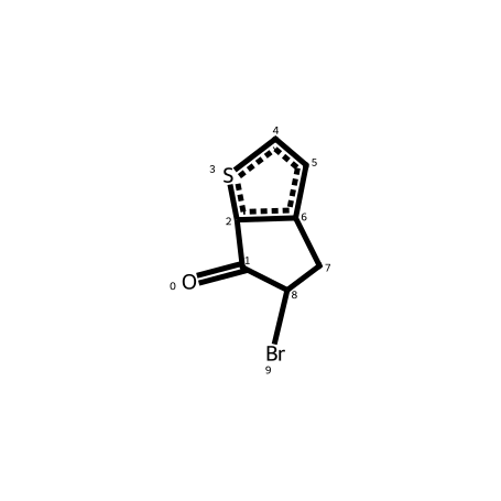 O=C1c2sccc2CC1Br